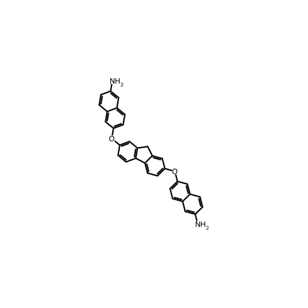 Nc1ccc2cc(Oc3ccc4c(c3)Cc3cc(Oc5ccc6cc(N)ccc6c5)ccc3-4)ccc2c1